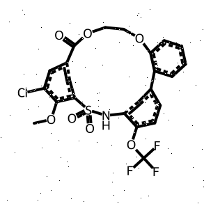 COc1c(Cl)cc2cc1S(=O)(=O)Nc1cc(ccc1OC(F)(F)F)-c1ccccc1OCCOC2=O